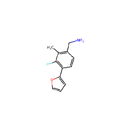 Cc1c(CN)ccc(-c2ccco2)c1F